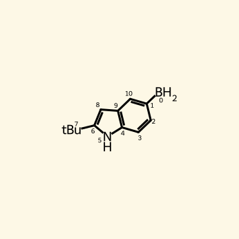 Bc1ccc2[nH]c(C(C)(C)C)cc2c1